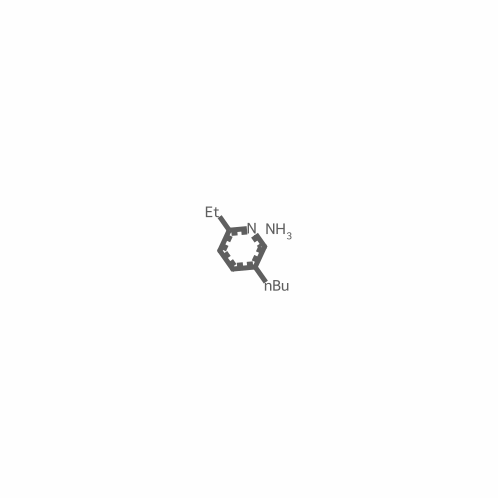 CCCCc1ccc(CC)nc1.N